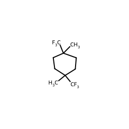 CC1(C(F)(F)F)CCC(C)(C(F)(F)F)CC1